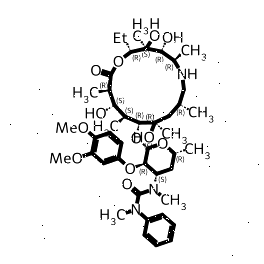 CC[C@H]1OC(=O)[C@H](C)[C@@H](O)[C@H](C)[C@@H](O[C@@H]2O[C@H](C)C[C@H](N(C)C(=O)N(C)c3ccccc3)[C@H]2Oc2ccc(OC)c(OC)c2)[C@](C)(O)C[C@@H](C)CN[C@H](C)[C@@H](O)[C@]1(C)O